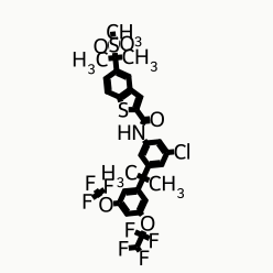 CC(C)(c1cc(Cl)cc(NC(=O)c2cc3cc(C(C)(C)S(C)(=O)=O)ccc3s2)c1)c1cc(OC(F)(F)F)cc(OC(F)(F)C(F)F)c1